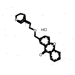 Cl.O=c1c2ccccc2oc2ccc(COC/C=C3\CN4CCC3CC4)cc12